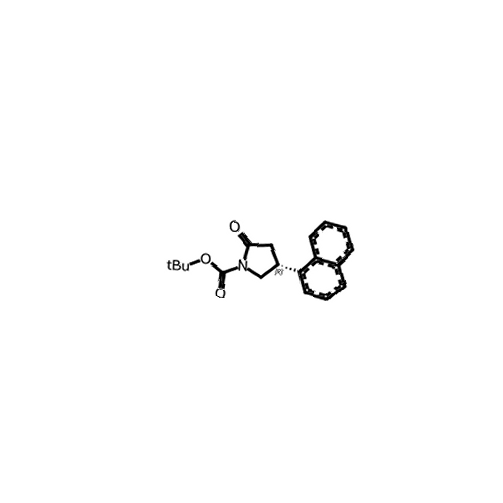 CC(C)(C)OC(=O)N1C[C@@H](c2cccc3ccccc23)CC1=O